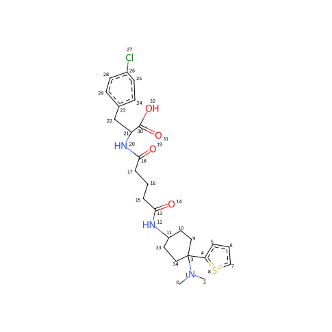 CN(C)C1(c2cccs2)CCC(NC(=O)CCCC(=O)NC(Cc2ccc(Cl)cc2)C(=O)O)CC1